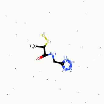 CC(SS)C(=O)NCc1nnn[nH]1